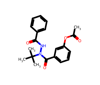 CC(=O)Oc1cccc(C(=O)N(NC(=O)c2ccccc2)C(C)(C)C)c1